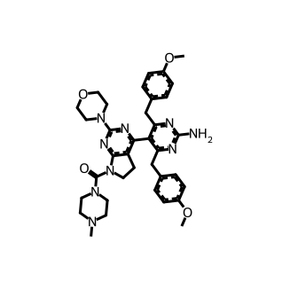 COc1ccc(Cc2nc(N)nc(Cc3ccc(OC)cc3)c2-c2nc(N3CCOCC3)nc3c2CCN3C(=O)N2CCN(C)CC2)cc1